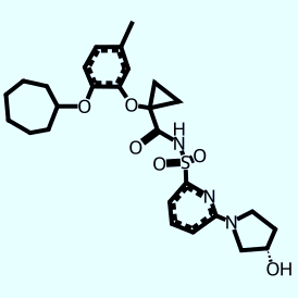 Cc1ccc(OC2CCCCCC2)c(OC2(C(=O)NS(=O)(=O)c3cccc(N4CC[C@H](O)C4)n3)CC2)c1